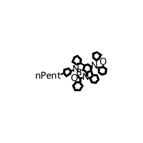 CCCCCc1ccc(N2B3c4oc5ccccc5c4-n4c5ccccc5c5c(N6c7ccccc7Oc7ccccc76)cc(c3c54)-c3ccccc32)cc1